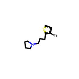 CCc1ccsc1CCCN1CCCC1